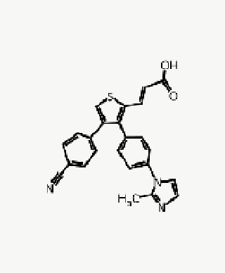 Cc1nccn1-c1ccc(-c2c(-c3ccc(C#N)cc3)csc2C=CC(=O)O)cc1